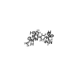 Cn1cncc1N(c1ccc(-c2nc(NC(=O)C3CC3)nc3[nH]ccc23)cc1)[SH](=O)=O